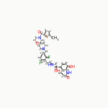 Cc1ccc(C(=O)N2CCOC3(CCN(Cc4ccc(F)c(CCNC[C@H](O)c5ccc(O)c6[nH]c(=O)ccc56)c4F)CC3)C2)s1